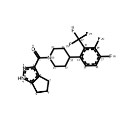 O=C(c1n[nH]c2c1CCC2)N1CCC(c2ccc(F)c(F)c2C(F)(F)F)CC1